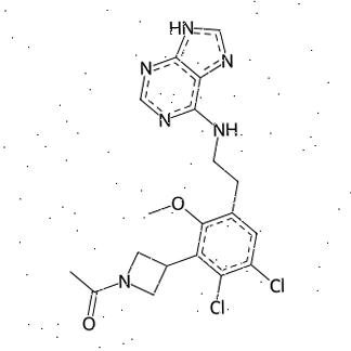 COc1c(CCNc2ncnc3[nH]cnc23)cc(Cl)c(Cl)c1C1CN(C(C)=O)C1